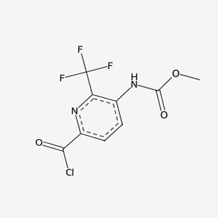 COC(=O)Nc1ccc(C(=O)Cl)nc1C(F)(F)F